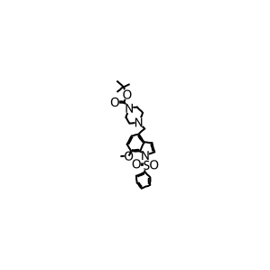 COc1ccc(CN2CCN(C(=O)OC(C)(C)C)CC2)c2ccn(S(=O)(=O)c3ccccc3)c12